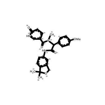 COc1ccc(C(C(=O)Nc2ccc3c(c2)COC3(C)C)N(C)C(=O)c2ccc(=O)[nH]c2)cc1